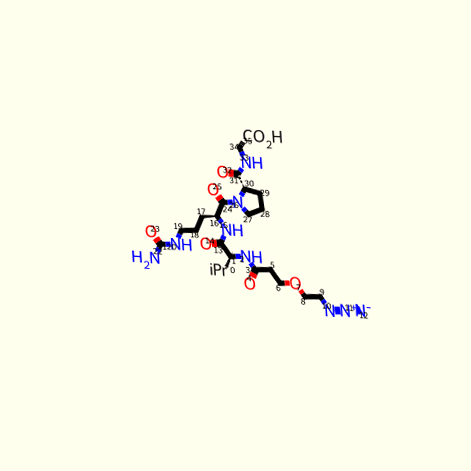 CC(C)[C@H](NC(=O)CCOCCN=[N+]=[N-])C(=O)N[C@@H](CCCNC(N)=O)C(=O)N1CCC[C@H]1C(=O)NCC(=O)O